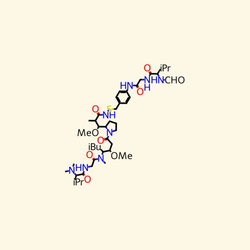 CCC(C)C(C(CC(=O)N1CCCC1C(OC)C(C)C(=O)NSCc1ccc(NC(=O)CNC(=O)C(NC=O)C(C)C)cc1)OC)N(C)C(=O)CNC(=O)C(C(C)C)N(C)C